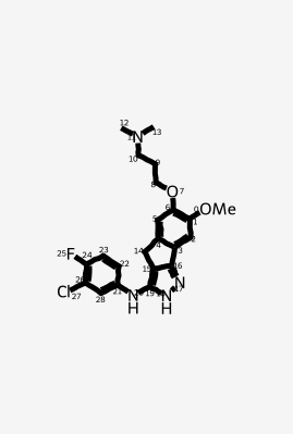 COc1cc2c(cc1OCCCN(C)C)Cc1c-2n[nH]c1Nc1ccc(F)c(Cl)c1